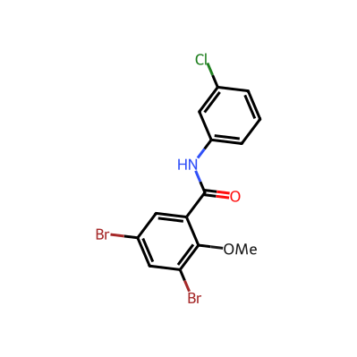 COc1c(Br)cc(Br)cc1C(=O)Nc1cccc(Cl)c1